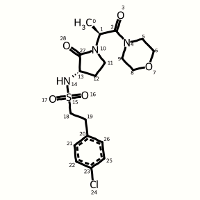 C[C@@H](C(=O)N1CCOCC1)N1CC[C@H](NS(=O)(=O)CCc2ccc(Cl)cc2)C1=O